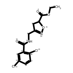 CCOC(=O)C1CC(CNC(=O)c2cc(Cl)ccc2Cl)=NO1